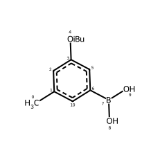 Cc1cc(OCC(C)C)cc(B(O)O)c1